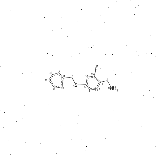 NCc1ncc(SCc2ccccc2)cc1F